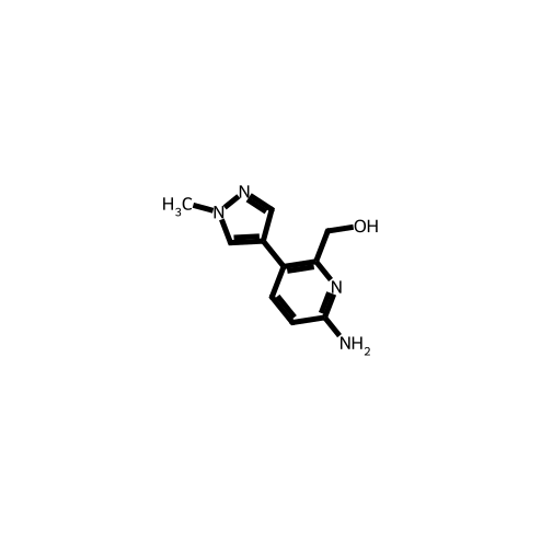 Cn1cc(-c2ccc(N)nc2CO)cn1